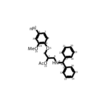 CCCc1ccc(OCC(CNC(c2ccccc2)c2ccccc2)OC(C)=O)c(OC)c1